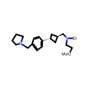 CCN(CCOC)C[C@H]1C[C@H](c2ccc(CN3CCCC3)cc2)C1